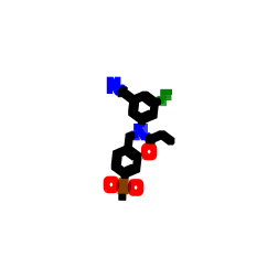 CCC(=O)N(Cc1ccc(S(C)(=O)=O)cc1)c1cc(F)cc(C#N)c1